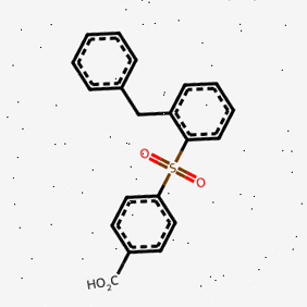 O=C(O)c1ccc(S(=O)(=O)c2ccccc2Cc2ccccc2)cc1